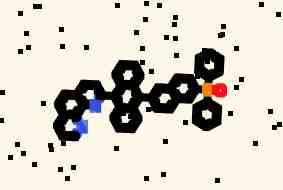 O=P(c1ccccc1)(c1ccccc1)c1ccc2cc(-c3c4ccccc4c(-c4ccc5ccc6cccnc6c5n4)c4ccccc34)ccc2c1